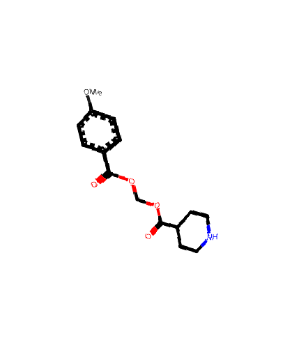 COc1ccc(C(=O)OCOC(=O)C2CCNCC2)cc1